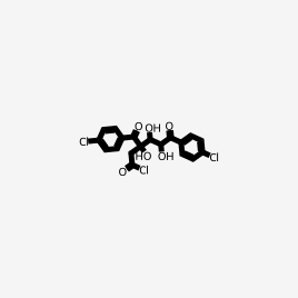 O=C(Cl)CC(O)(C(=O)c1ccc(Cl)cc1)C(O)C(O)C(=O)c1ccc(Cl)cc1